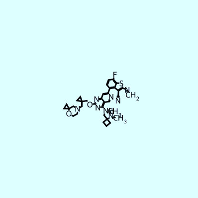 C=Nc1sc2c(F)ccc(-c3cc4nc(OCC5(CN6CCOC7(CC7)C6)CC5)nc(NCC5(N(C)C)CCC5)c4cn3)c2c1C#N